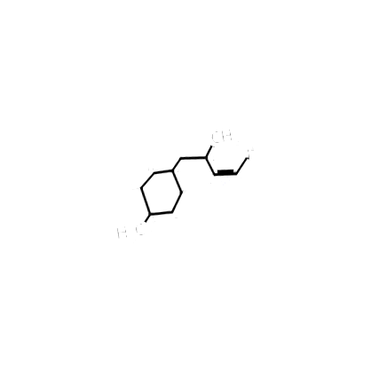 CC(/C=C\I)CC1CCC(C)CC1